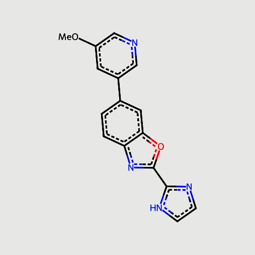 COc1cncc(-c2ccc3nc(-c4ncc[nH]4)oc3c2)c1